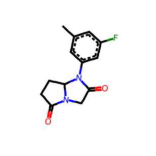 Cc1cc(F)cc(N2C(=O)CN3C(=O)CCC32)c1